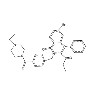 CCC(=O)c1c(-c2ccccc2)c2cc(Br)ccc2c(=O)n1Cc1ccc(C(=O)N2CCN(CC)CC2)cc1